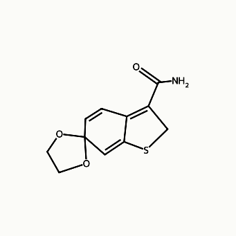 NC(=O)C1=C2C=CC3(C=C2SC1)OCCO3